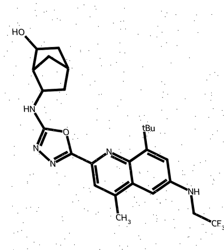 Cc1cc(-c2nnc(NC3CC4CC(O)C3C4)o2)nc2c(C(C)(C)C)cc(NCC(F)(F)F)cc12